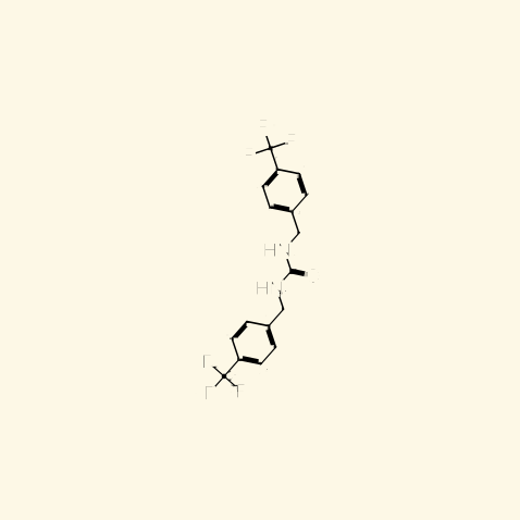 O=C(NCc1ccc(C(F)(F)F)cc1)NCc1ccc(C(F)(F)F)cc1